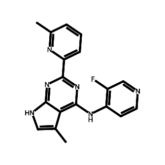 Cc1cccc(-c2nc(Nc3ccncc3F)c3c(C)c[nH]c3n2)n1